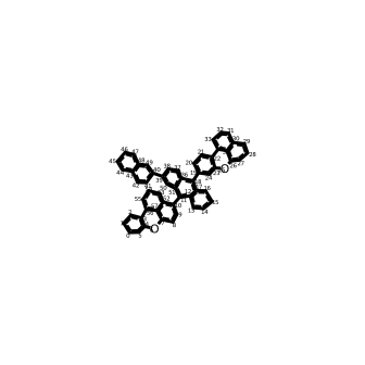 c1ccc2c(c1)Oc1ccc(-c3c4ccccc4c(-c4ccc5c(c4)Oc4cccc6cccc-5c46)c4ccc(-c5ccc6ccccc6c5)cc34)c3cccc-2c13